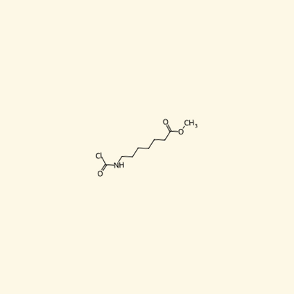 COC(=O)CCCCCCNC(=O)Cl